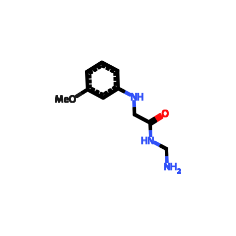 COc1cccc(NCC(=O)NCN)c1